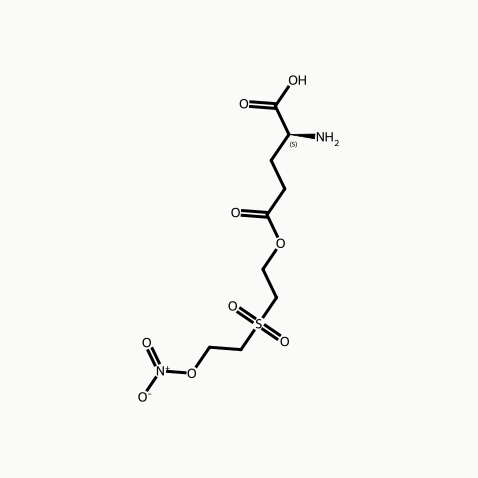 N[C@@H](CCC(=O)OCCS(=O)(=O)CCO[N+](=O)[O-])C(=O)O